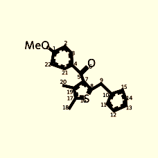 COc1ccc(C(=O)c2c(Cc3ccccc3)sc(C)c2C)cc1